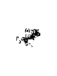 CNS(=O)(=O)c1ccccc1-c1ccc2[nH]c(/C=C/c3cc(C(F)(F)F)cc(C(F)(F)F)c3)nc2c1